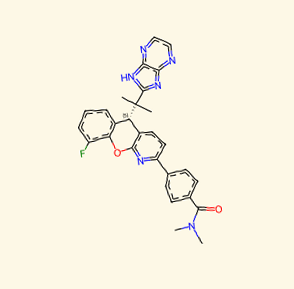 CN(C)C(=O)c1ccc(-c2ccc3c(n2)Oc2c(F)cccc2[C@@H]3C(C)(C)c2nc3nccnc3[nH]2)cc1